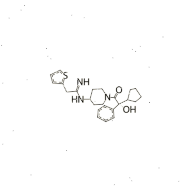 N=C(Cc1cccs1)NC1CCN(C(=O)[C@](O)(c2ccccc2)C2CCCC2)CC1